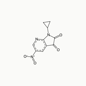 O=C1C(=O)N(C2CC2)c2ncc([N+](=O)[O-])cc21